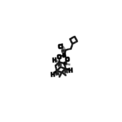 CC1(C)[C@@H]2C[C@H]3OB([C@H](Cl)CC4CCC4)O[C@@]3(C)[C@H]1C2